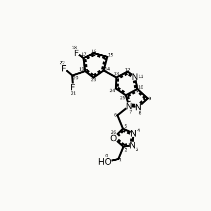 OCc1nnc(Cn2ncc3ncc(-c4ccc(F)c(C(F)F)c4)cc32)o1